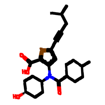 CC(C)CC#Cc1cc(N(C(=O)C2CCC(C)CC2)[C@H]2CC[C@H](O)CC2)c(C(=O)O)s1